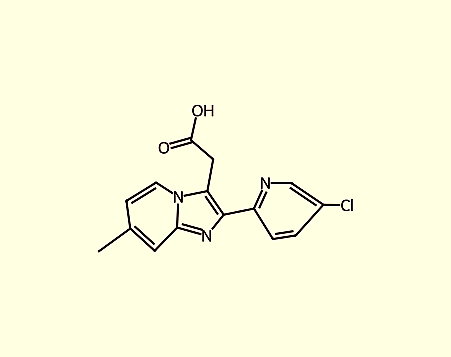 Cc1ccn2c(CC(=O)O)c(-c3ccc(Cl)cn3)nc2c1